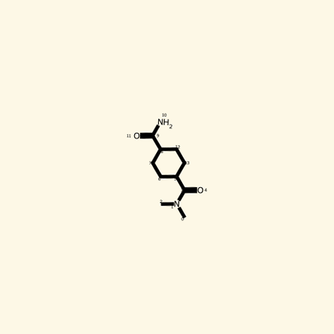 CN(C)C(=O)C1CCC(C(N)=O)CC1